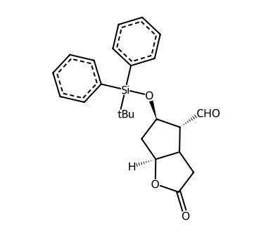 CC(C)(C)[Si](O[C@@H]1C[C@@H]2OC(=O)CC2[C@H]1C=O)(c1ccccc1)c1ccccc1